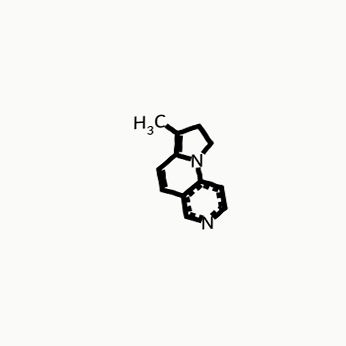 CC1=C2C=Cc3cnccc3N2CC1